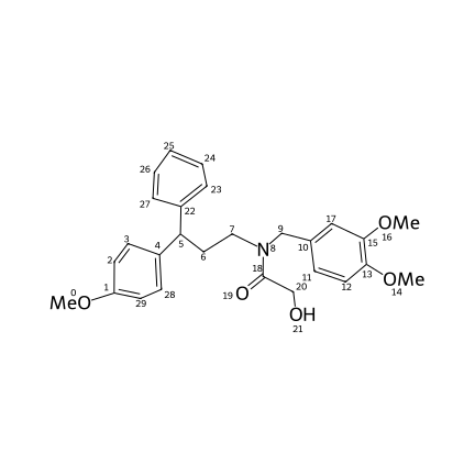 COc1ccc(C(CCN(Cc2ccc(OC)c(OC)c2)C(=O)CO)c2ccccc2)cc1